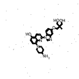 CC(CO)(CO)COc1ccc2c(c1)ncn2-c1ccc2c(O)ccc(N3CCC(N)CC3)c2n1